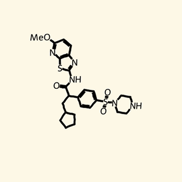 COc1ccc2nc(NC(=O)C(CC3CCCC3)c3ccc(S(=O)(=O)N4CCNCC4)cc3)sc2n1